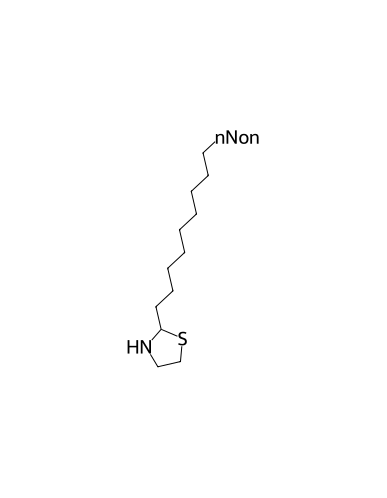 CCCCCCCCCCCCCCCCCCC1NCCS1